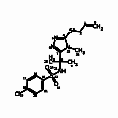 C=CCSc1nnc(C(C)(C)NS(=O)(=O)c2ccc(Cl)cc2)n1C